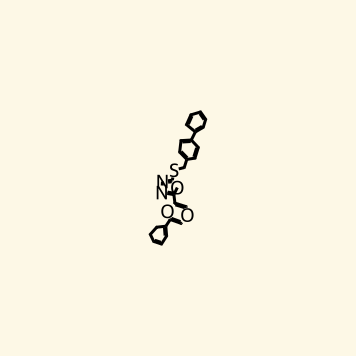 C1=CCCC(C2=COC=C(c3nnc(SCc4ccc(-c5ccccc5)cc4)o3)O2)=C1